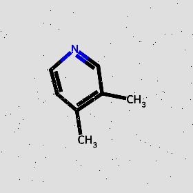 Cc1[c][c]ncc1C